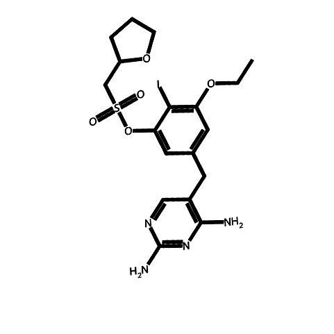 CCOc1cc(Cc2cnc(N)nc2N)cc(OS(=O)(=O)CC2CCCO2)c1I